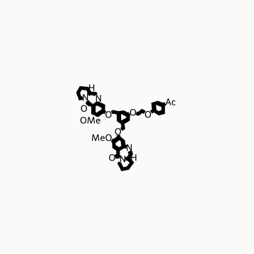 COc1cc2c(cc1OCc1cc(COc3cc4c(cc3OC)C(=O)N3CCCC[C@@H]3C=N4)cc(OCCOc3ccc(C(C)=O)cc3)c1)N=C[C@H]1CCCCN1C2=O